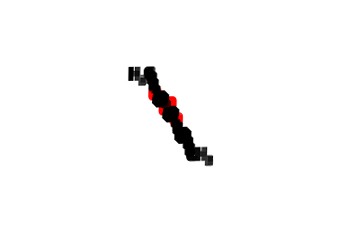 CCCCCCOc1ccc(C(=O)Oc2ccc(OCC=CC3CCC(CCCCC)CC3)cc2)cc1